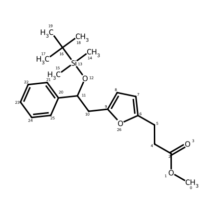 COC(=O)CCc1ccc(CC(O[Si](C)(C)C(C)(C)C)c2ccccc2)o1